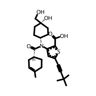 CC1=CC[C@H](C(=O)N(c2cc(C#CC(C)(C)C)sc2C(=O)O)[C@H]2CC[C@](O)(CO)CC2)CC1